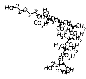 C=C(C)C(=O)O.C=C(C)C(=O)O.C=C(C)C(=O)O.C=C(C)C(=O)O.C=C(C)C(=O)O.CCC(CO)(CO)CO.OCCOCCO